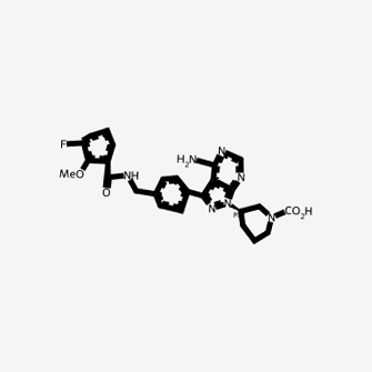 COc1c(F)cccc1C(=O)NCc1ccc(-c2nn([C@@H]3CCCN(C(=O)O)C3)c3ncnc(N)c23)cc1